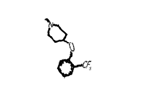 CN1CCC(Oc2cc[c]cc2C(F)(F)F)CC1